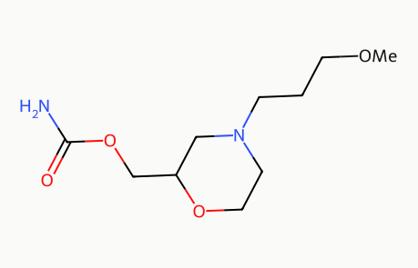 COCCCN1CCOC(COC(N)=O)C1